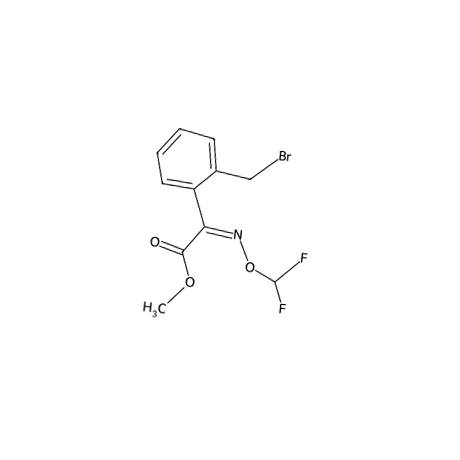 COC(=O)C(=NOC(F)F)c1ccccc1CBr